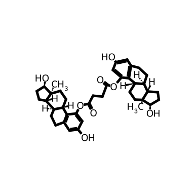 C[C@]12CC[C@@H]3c4c(cc(O)cc4OC(=O)CCC(=O)Oc4cc(O)cc5c4[C@H]4CC[C@]6(C)[C@H](O)CC[C@H]6[C@@H]4CC5)CC[C@H]3[C@@H]1CC[C@H]2O